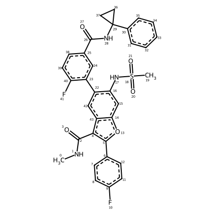 CNC(=O)c1c(-c2ccc(F)cc2)oc2cc(NS(C)(=O)=O)c(-c3cc(C(=O)NC4(c5ccccc5)CC4)ccc3F)cc12